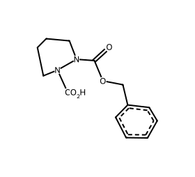 O=C(O)N1CCCCN1C(=O)OCc1ccccc1